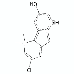 CC1(C)C=C(Cl)C=C2C=c3[siH]cc(O)cc3=C21